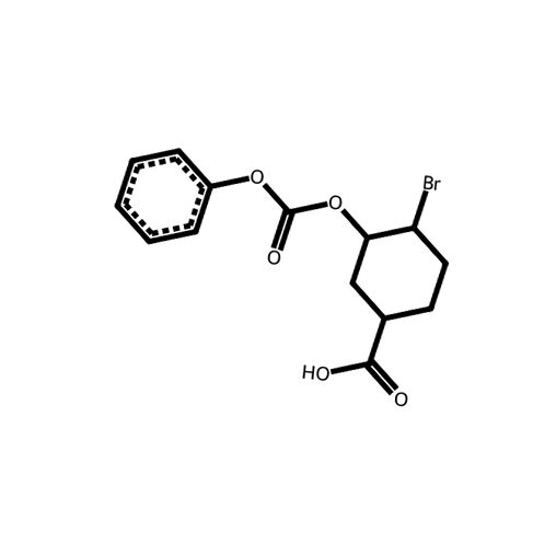 O=C(Oc1ccccc1)OC1CC(C(=O)O)CCC1Br